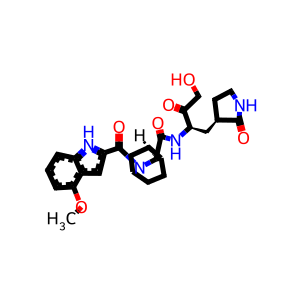 COc1cccc2[nH]c(C(=O)N3C4CCC(CC4)[C@@H]3C(=O)N[C@H](C[C@H]3CCNC3=O)C(=O)CO)cc12